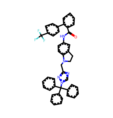 O=C(Nc1ccc2c(c1)CCN2Cc1ncn(C(c2ccccc2)(c2ccccc2)c2ccccc2)n1)c1ccccc1-c1ccc(C(F)(F)F)cc1